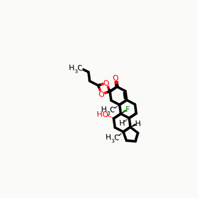 CCCC1OC2(C[C@@]3(C)C(=CC2=O)CC[C@H]2[C@@H]4CCC[C@@]4(C)C[C@H](O)[C@@]23F)O1